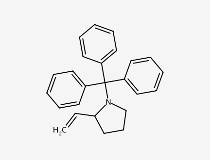 C=CC1CCCN1C(c1ccccc1)(c1ccccc1)c1ccccc1